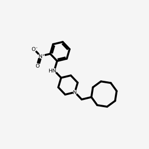 O=[N+]([O-])c1ccccc1NC1CCN(CC2CCCCCCC2)CC1